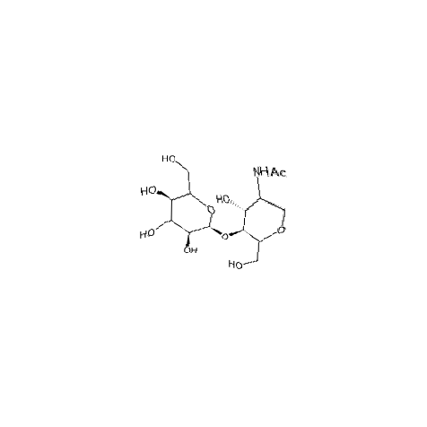 CC(=O)NC1COC(CO)[C@@H](O[C@@H]2OC(CO)[C@H](O)C(O)[C@@H]2O)[C@@H]1O